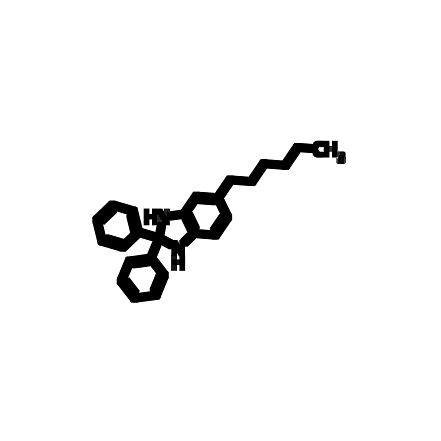 CCCCCCc1ccc2c(c1)NC(c1ccccc1)(c1ccccc1)N2